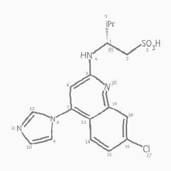 CC(C)[C@H](CS(=O)(=O)O)Nc1cc(-n2ccnc2)c2ccc(Cl)cc2n1